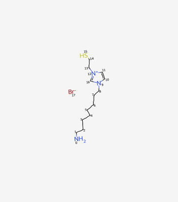 NCCCCCCCCn1cc[n+](CCS)c1.[Br-]